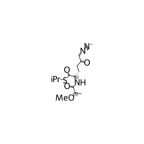 CO[C@@H](C)C(=O)N[C@@H](CCC(=O)C=[N+]=[N-])C(=O)SC(C)C